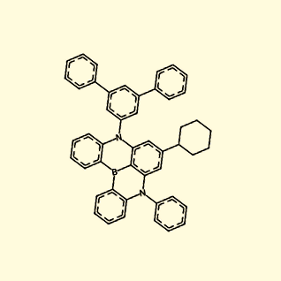 c1ccc(-c2cc(-c3ccccc3)cc(N3c4ccccc4B4c5ccccc5N(c5ccccc5)c5cc(C6CCCCC6)cc3c54)c2)cc1